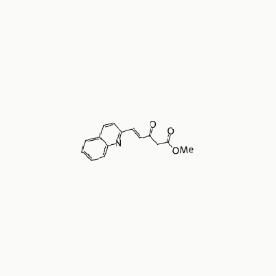 COC(=O)CC(=O)C=Cc1ccc2ccccc2n1